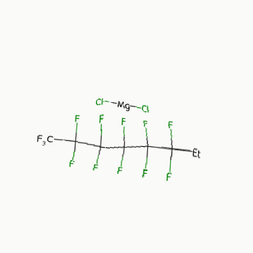 [CH2]CC(F)(F)C(F)(F)C(F)(F)C(F)(F)C(F)(F)C(F)(F)F.[Cl][Mg][Cl]